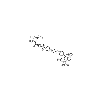 C=C(CN(C)C)C(=O)N1CC(S(=O)(=O)c2ccc(N3CC(F)(CN4CCC([C@@](CN5CCC5)(c5cccc(F)c5)[C@H]5CCC[C@@H]5NC(=O)O)CC4)C3)cc2)C1